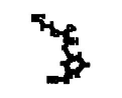 N#CCCOC(=O)NCc1cccc(CC#N)c1